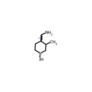 CC1CN(C(C)C)CC/C1=C/N